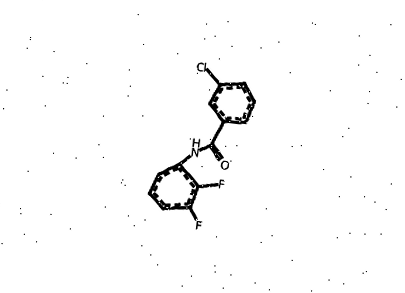 O=C(Nc1cccc(F)c1F)c1cccc(Cl)c1